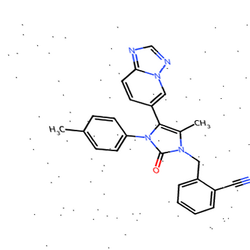 Cc1ccc(-n2c(-c3ccc4ncnn4c3)c(C)n(Cc3ccccc3C#N)c2=O)cc1